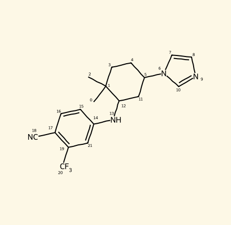 CC1(C)CCC(n2ccnc2)CC1Nc1ccc(C#N)c(C(F)(F)F)c1